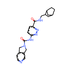 O=C(NCC1CC2CCC1C2)c1ccc(NC(=O)N2Cc3ccncc3C2)nn1